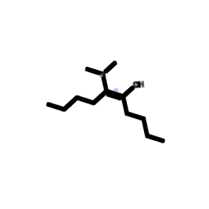 CCCC/C(O)=C(\CCCC)N(C)C